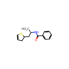 O=C(N[C@@H](CC1CC=CS1)C(=O)O)c1ccccc1